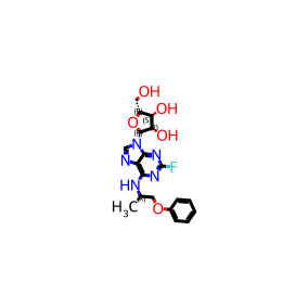 C[C@H](COc1ccccc1)Nc1nc(F)nc2c1ncn2[C@@H]1O[C@H](CO)[C@@H](O)[C@H]1O